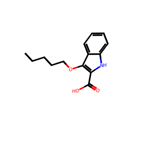 CCCCCOc1c(C(=O)O)[nH]c2ccccc12